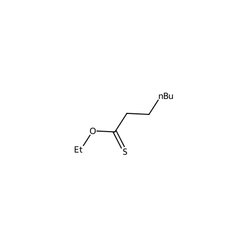 CCCCCCC(=S)OCC